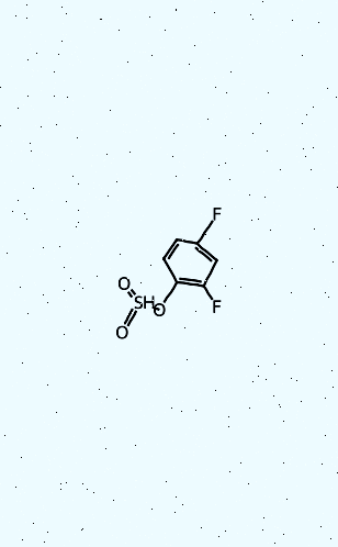 O=[SH](=O)Oc1ccc(F)cc1F